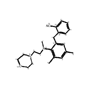 Cc1cc(C)c(N(C)CCN2CCOCC2)c(Cc2ccccc2C#N)c1